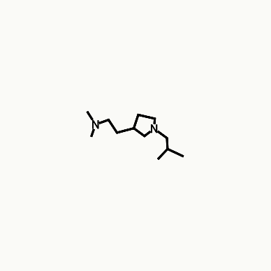 CC(C)CN1CCC(CCN(C)C)C1